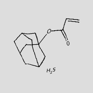 C=CC(=O)OC12CC3CC(CC(C3)C1)C2.S